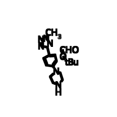 CC(C)(C)OC=O.Cn1nnc(-c2ccc(N3CCNCC3)cc2)n1